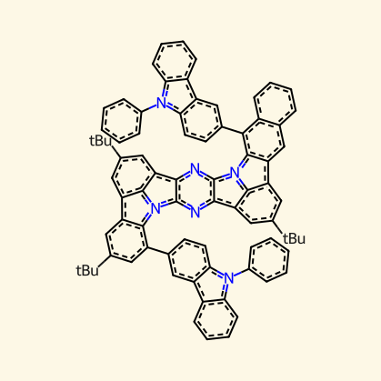 CC(C)(C)c1cc(-c2ccc3c(c2)c2ccccc2n3-c2ccccc2)c2c(c1)c1cc(C(C)(C)C)cc3c4nc5c(nc4n2c13)c1cc(C(C)(C)C)cc2c3cc4ccccc4c(-c4ccc6c(c4)c4ccccc4n6-c4ccccc4)c3n5c21